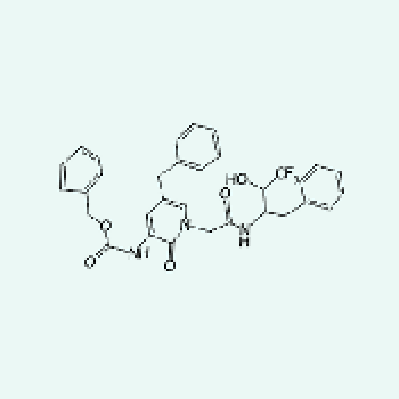 O=C(Cn1cc(Cc2ccccc2)cc(NC(=O)OCc2ccccc2)c1=O)NC(Cc1ccccc1)C(O)C(F)(F)F